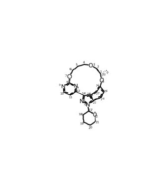 C[C@H]1COCCCOc2nccc(n2)-c2nn(C3CCCCO3)c3ccc(cc23)O1